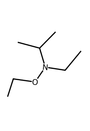 CCON(CC)C(C)C